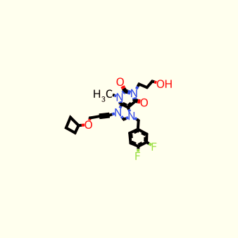 Cn1c2c(c(=O)n(CCCO)c1=O)N(Cc1ccc(F)c(F)c1)CN2C#CCOC1CCC1